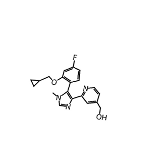 Cn1cnc(-c2cc(CO)ccn2)c1-c1ccc(F)cc1OCC1CC1